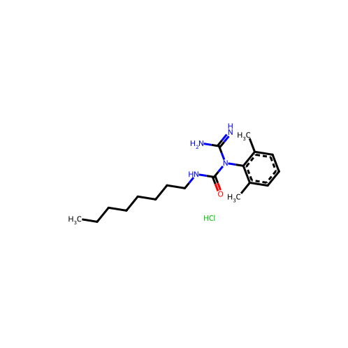 CCCCCCCCNC(=O)N(C(=N)N)c1c(C)cccc1C.Cl